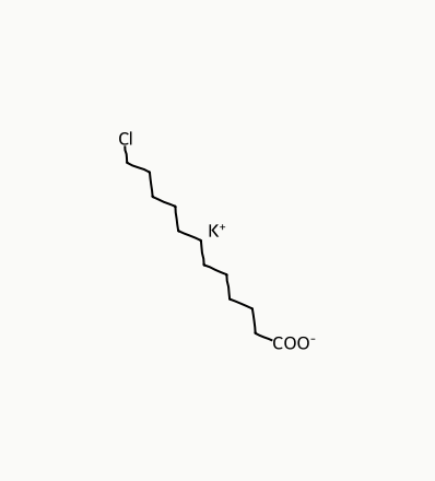 O=C([O-])CCCCCCCCCCCCl.[K+]